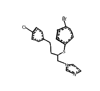 Clc1ccc(CCC(Cn2ccnc2)Sc2ccc(Br)cc2)cc1